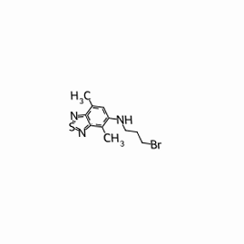 Cc1cc(NCCCBr)c(C)c2nsnc12